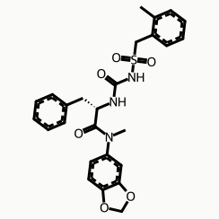 Cc1ccccc1CS(=O)(=O)NC(=O)N[C@@H](Cc1ccccc1)C(=O)N(C)c1ccc2c(c1)OCO2